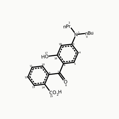 CCCCN(CCC)c1ccc(C(=O)c2ccccc2C(=O)O)c(O)c1